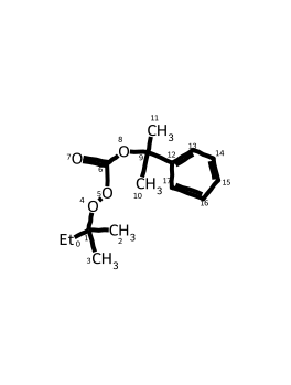 CCC(C)(C)OOC(=O)OC(C)(C)c1ccccc1